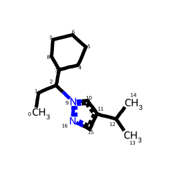 CCC(C1CCCCC1)n1cc(C(C)C)cn1